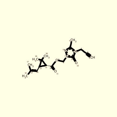 C#CCn1c(C)nn(COC(=O)[C@@H]2[C@@H](C=C(C)C)C2(C)C)c1=O